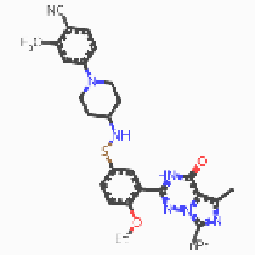 CCCc1nc(C)c2c(=O)[nH]c(-c3cc(SNC4CCN(c5ccc(C#N)c(C(F)(F)F)c5)CC4)ccc3OCC)nn12